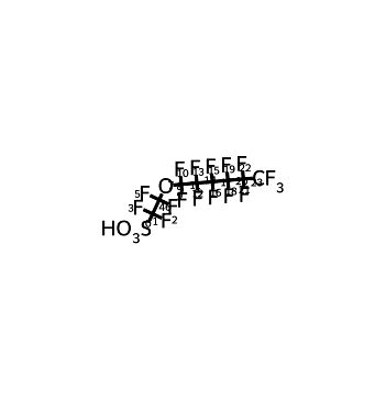 O=S(=O)(O)C(F)(F)C(F)(F)OC(F)(F)C(F)(F)C(F)(F)C(F)(F)C(F)(F)C(F)(F)F